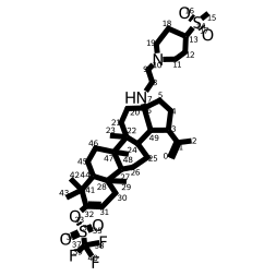 C=C(C)C1CCC2(NCCN3CCC(S(C)(=O)=O)CC3)CCC3(C)C(CCC4C5(C)CC=C(OS(=O)(=O)C(F)(F)F)C(C)(C)C5CCC43C)C12